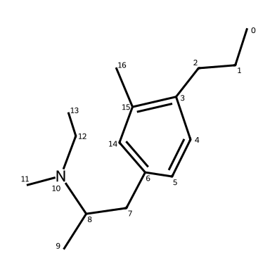 CCCc1ccc(CC(C)N(C)CC)cc1C